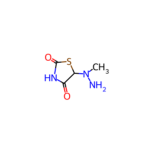 CN(N)C1SC(=O)NC1=O